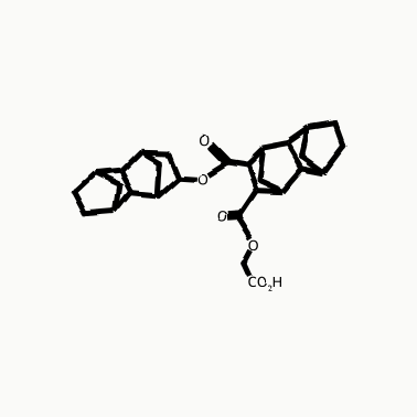 O=C(O)COC(=O)C1C2CC(C1C(=O)OC1CC3CC1C1C4CCC(C4)C31)C1C3CCC(C3)C21